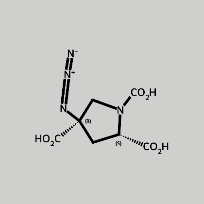 [N-]=[N+]=N[C@]1(C(=O)O)C[C@@H](C(=O)O)N(C(=O)O)C1